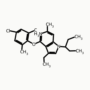 CCc1cn(C(CC)CC)c2cc(C)nc(Oc3c(C)cc(Cl)cc3C)c12